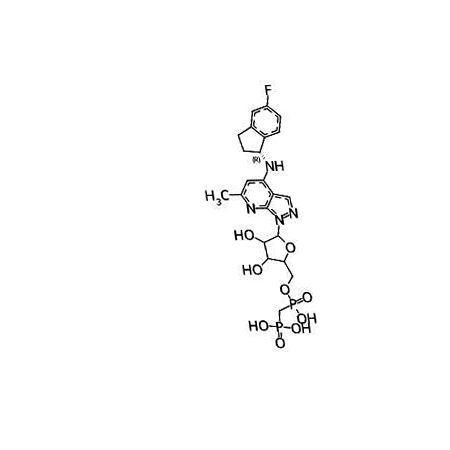 Cc1cc(N[C@@H]2CCc3cc(F)ccc32)c2cnn(C3OC(COP(=O)(O)CP(=O)(O)O)C(O)C3O)c2n1